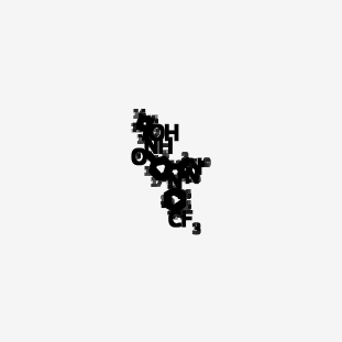 Cn1cc2c3cc(C(=O)NCC4(O)CCC4)ccc3n(-c3ccc(C(F)(F)F)cc3)c2n1